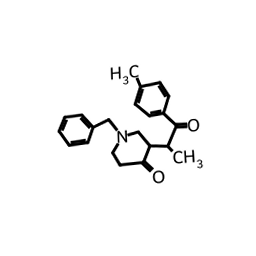 Cc1ccc(C(=O)C(C)C2CN(Cc3ccccc3)CCC2=O)cc1